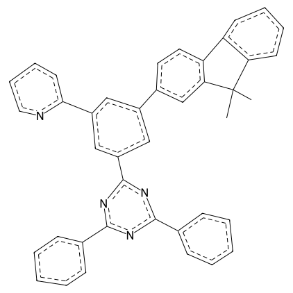 CC1(C)c2ccccc2-c2ccc(-c3cc(-c4ccccn4)cc(-c4nc(-c5ccccc5)nc(-c5ccccc5)n4)c3)cc21